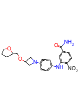 NC(=O)c1ccc([N+](=O)[O-])c(Nc2ccc(N3CC(OCC4CCCO4)C3)cc2)c1